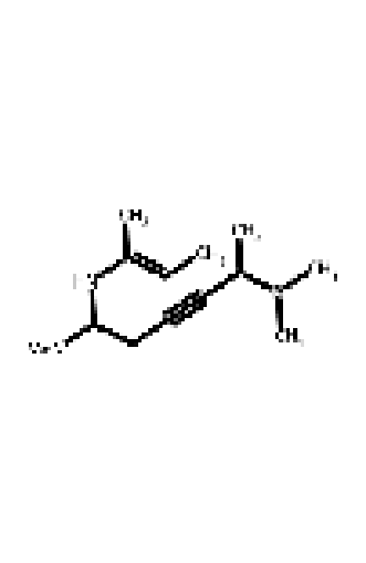 CC=C(C)NC(CC#CC(C)B(C)C)NC